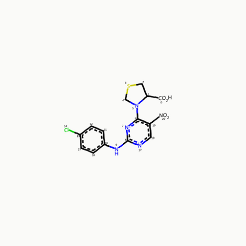 O=C(O)C1CSCN1c1nc(Nc2ccc(Cl)cc2)ncc1[N+](=O)[O-]